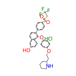 Cl.O=S(=O)(CC(F)(F)F)c1ccc(-c2ccc3cc(O)ccc3c2Oc2ccc(OCCC3CCCCN3)cc2)cc1